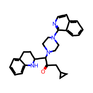 O=C(CC1CC1)C(C1CCc2ccccc2N1)N1CCN(c2nccc3ccccc23)CC1